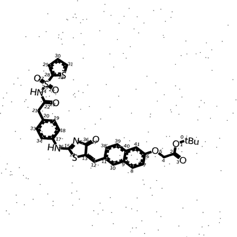 CC(C)(C)OC(=O)COc1ccc2cc(C=C3SC(Nc4ccc(CC(=O)NS(=O)(=O)c5cccs5)cc4)=NC3=O)ccc2c1